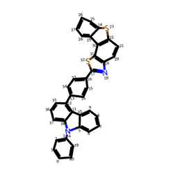 c1ccc(-n2c3ccccc3c3c(-c4ccc(-c5nc6ccc7sc8ccccc8c7c6s5)cc4)cccc32)cc1